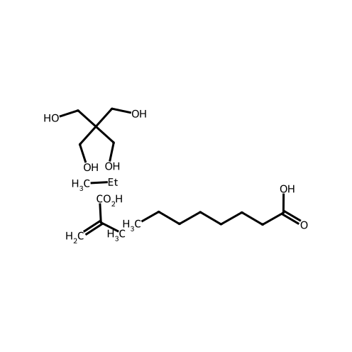 C=C(C)C(=O)O.CCC.CCCCCCCC(=O)O.OCC(CO)(CO)CO